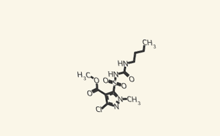 CCCCNC(=O)NS(=O)(=O)c1c(C(=O)OC)c(Cl)nn1C